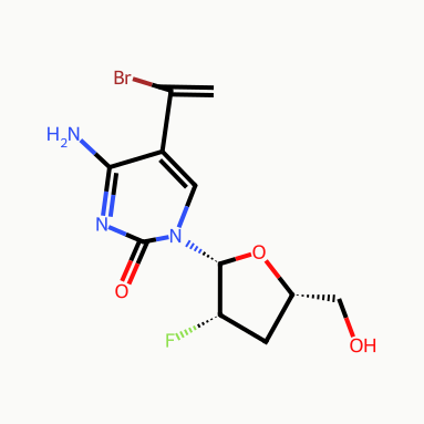 C=C(Br)c1cn([C@@H]2O[C@H](CO)C[C@@H]2F)c(=O)nc1N